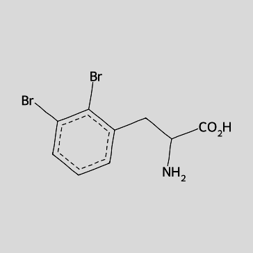 NC(Cc1cccc(Br)c1Br)C(=O)O